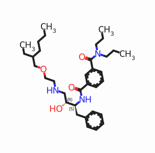 CCCCC(CC)COCCNC[C@@H](O)[C@H](Cc1ccccc1)NC(=O)c1cccc(C(=O)N(CCC)CCC)c1